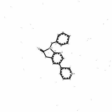 O=C1Cc2cc(-c3cccnc3)cnc2N1Cc1ccccc1